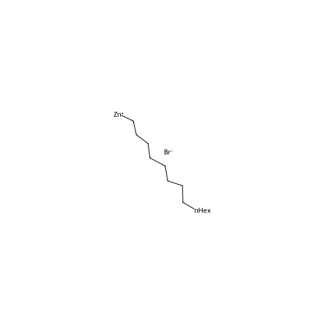 CCCCCCCCCCCCC[CH2][Zn+].[Br-]